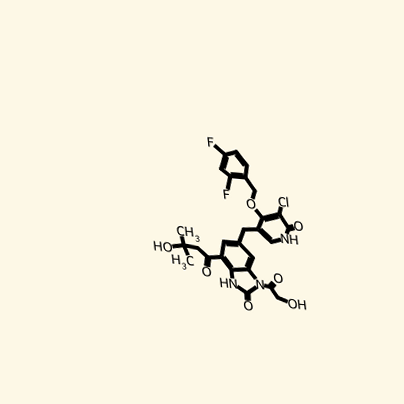 CC(C)(O)CC(=O)c1cc(Cc2c[nH]c(=O)c(Cl)c2OCc2ccc(F)cc2F)cc2c1[nH]c(=O)n2C(=O)CO